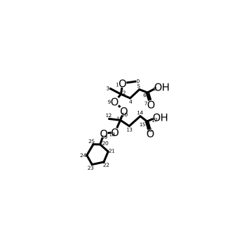 COC(C)(CCC(=O)O)OOC(C)(CCC(=O)O)OOC1CCCCC1